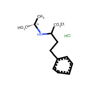 CCOC(=O)C(CCc1ccccc1)N[C@@H](C)C(=O)O.Cl